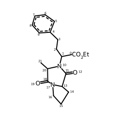 CCOC(=O)C(CCc1ccccc1)N1C(=O)C2CCCN2C(=O)C1C